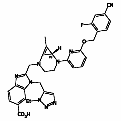 CCn1nncc1Cn1c(CN2CCN(c3cccc(OCc4ccc(C#N)cc4F)n3)[C@H]3C(C)=C32)nc2ccc(C(=O)O)cc21